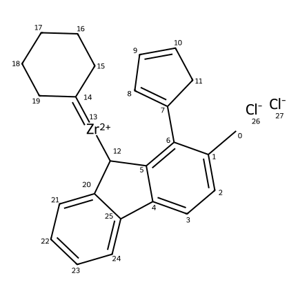 Cc1ccc2c(c1C1=CC=CC1)[CH]([Zr+2]=[C]1CCCCC1)c1ccccc1-2.[Cl-].[Cl-]